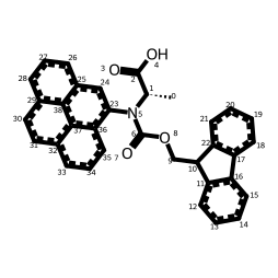 C[C@@H](C(=O)O)N(C(=O)OCC1c2ccccc2-c2ccccc21)c1cc2cccc3ccc4cccc1c4c32